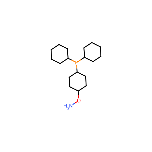 NOC1CCC(P(C2CCCCC2)C2CCCCC2)CC1